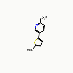 O=Cc1ccc(-c2ccc(C(=O)O)nc2)s1